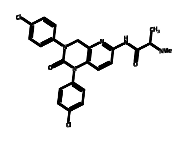 CNC(C)C(=O)Nc1ccc2c(n1)CN(c1ccc(Cl)cc1)C(=O)N2c1ccc(Cl)cc1